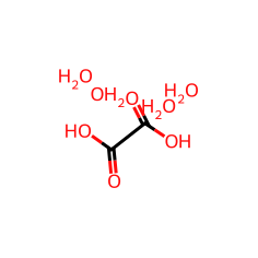 O.O.O.O.O=C(O)C(=O)O